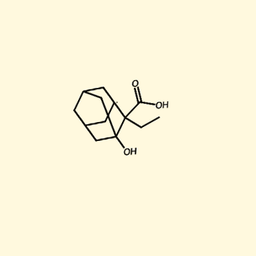 CCC1(C(=O)O)[C]2CC3CC(C2)CC1(O)C3